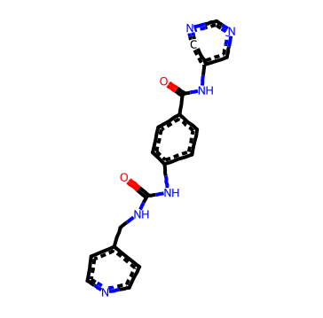 O=C(NCc1ccncc1)Nc1ccc(C(=O)Nc2cncnc2)cc1